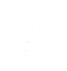 CC(C)Oc1nccc(CC(C)Oc2ccc(C(F)(F)F)cn2)n1